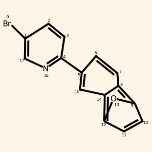 Brc1ccc(-c2ccc3c4ccc(o4)c3c2)nc1